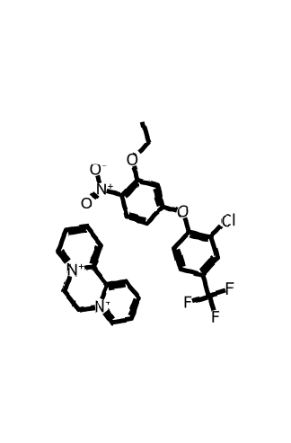 CCOc1cc(Oc2ccc(C(F)(F)F)cc2Cl)ccc1[N+](=O)[O-].c1cc[n+]2c(c1)-c1cccc[n+]1CC2